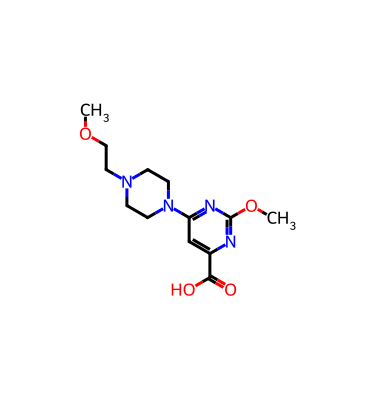 COCCN1CCN(c2cc(C(=O)O)nc(OC)n2)CC1